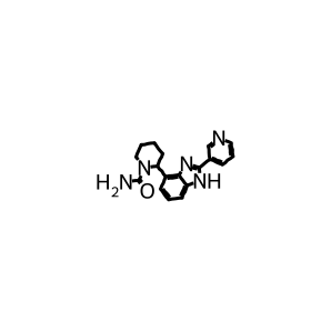 NC(=O)N1CCCCC1c1cccc2[nH]c(-c3cccnc3)nc12